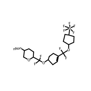 CCCCCCCCCC1CCC(C(F)(F)OC2CC=C(C(F)(F)OC3CCC(S(F)(F)(F)(F)F)CC3)CC2)OC1